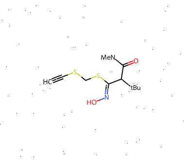 C#CSCSC(=NO)C(C(=O)NC)C(C)(C)C